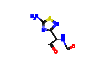 Nc1nc(C([C]=O)NC=O)ns1